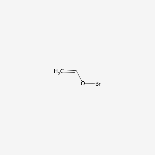 C=COBr